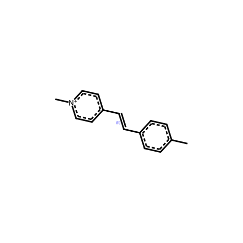 Cc1ccc(/C=C/c2cc[n+](C)cc2)cc1